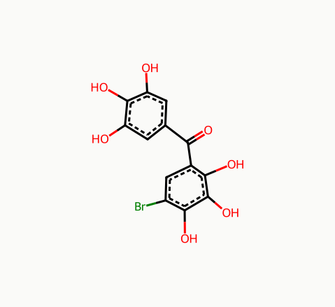 O=C(c1cc(O)c(O)c(O)c1)c1cc(Br)c(O)c(O)c1O